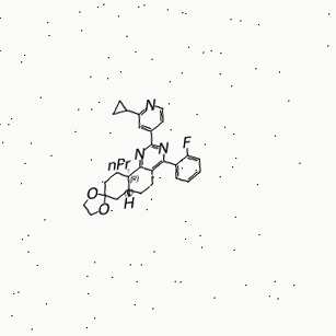 CCC[C@@]12CCC3(C[C@H]1CCc1c(-c4ccccc4F)nc(-c4ccnc(C5CC5)c4)nc12)OCCO3